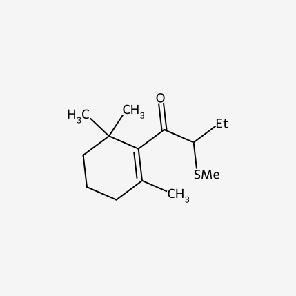 CCC(SC)C(=O)C1=C(C)CCCC1(C)C